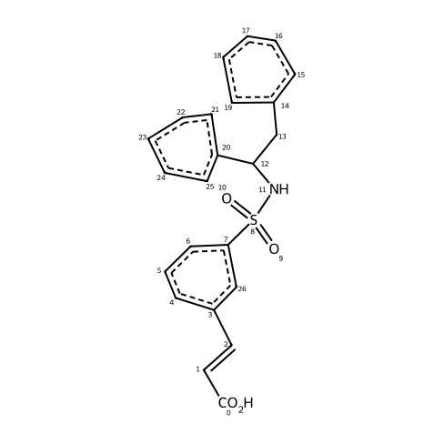 O=C(O)/C=C/c1cccc(S(=O)(=O)NC(Cc2ccccc2)c2ccccc2)c1